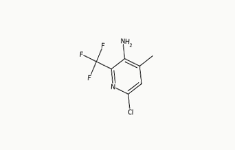 Cc1cc(Cl)nc(C(F)(F)F)c1N